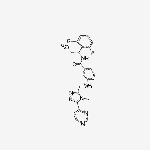 Cn1c(CNc2cccc(C(=O)NC(CO)c3c(F)cccc3F)c2)nnc1-c1ccncn1